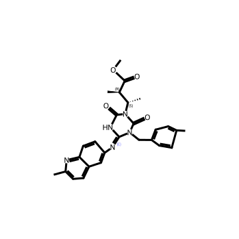 COC(=O)[C@H](C)[C@H](C)n1c(=O)[nH]/c(=N\c2ccc3nc(C)ccc3c2)n(Cc2ccc(C)cc2)c1=O